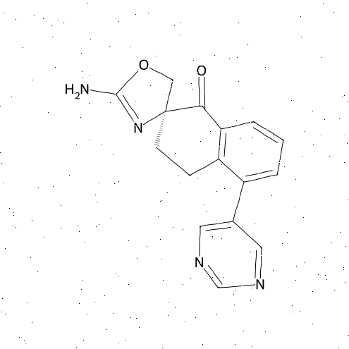 NC1=N[C@@]2(CCc3c(cccc3-c3cncnc3)C2=O)CO1